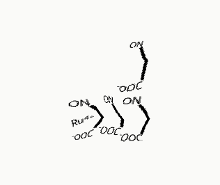 O=NCC(=O)[O-].O=NCC(=O)[O-].O=NCC(=O)[O-].O=NCC(=O)[O-].[Ru+4]